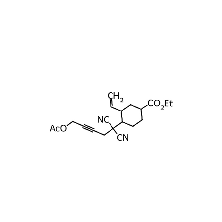 C=CC1CC(C(=O)OCC)CCC1C(C#N)(C#N)CC#CCOC(C)=O